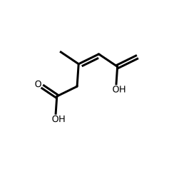 C=C(O)C=C(C)CC(=O)O